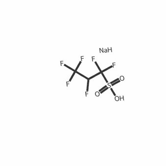 O=S(=O)(O)C(F)(F)C(F)C(F)(F)F.[NaH]